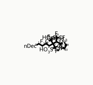 CCCCCCCCCCCCCCC(C(c1nccn1C)C(F)(C(F)(F)F)S(=O)(=O)O)(C(F)(C(F)(F)F)S(=O)(=O)O)C(F)(C(F)(F)F)S(=O)(=O)O